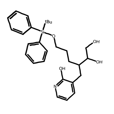 CC(C)(C)[Si](OCCCC(Cc1cccnc1O)C(O)CO)(c1ccccc1)c1ccccc1